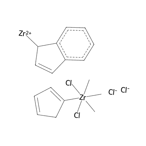 [CH3][Zr]([CH3])([CH3])([Cl])([Cl])[C]1=CC=CC1.[Cl-].[Cl-].[Zr+2][CH]1C=Cc2ccccc21